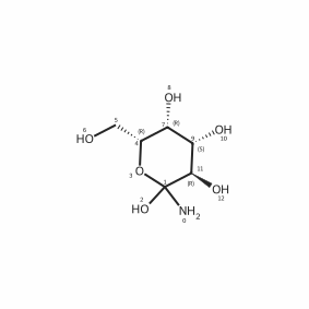 NC1(O)O[C@H](CO)[C@H](O)[C@H](O)[C@H]1O